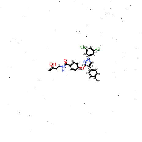 C=C(O)CCNC(=O)c1ccc(Oc2nn(-c3cc(Cl)cc(Cl)c3)cc2-c2ccc(C)cc2)cc1